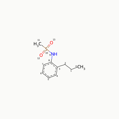 CCCc1c[c]ccc1NS(C)(=O)=O